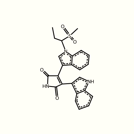 CCC(n1cc(C2=C(c3c[nH]c4ccccc34)C(=O)NC2=O)c2ccccc21)S(C)(=O)=O